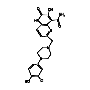 NC(=O)c1c(O)c(=O)[nH]c2ccc(CN3CCN(c4ccc(O)c(Cl)c4)CC3)nc12